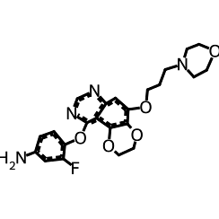 Nc1ccc(Oc2ncnc3cc(OCCCN4CCOCC4)c4c(c23)OCCO4)c(F)c1